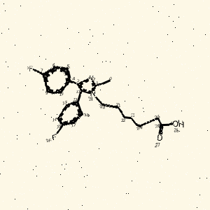 Cc1nc(-c2ccc(F)cc2)c(-c2ccc(F)cc2)n1CCCCCCC(=O)O